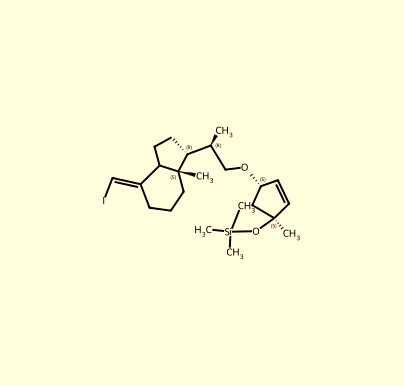 C[C@@H](CO[C@@H]1C=C[C@@](C)(O[Si](C)(C)C)C1)[C@H]1CCC2C(=CI)CCC[C@]21C